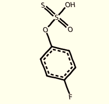 O=S(O)(=S)Oc1ccc(F)cc1